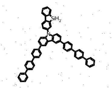 c1ccc(-c2ccc(-c3ccc(-c4ccc5c(c4)c4cc(-c6ccc(-c7ccc(-c8ccccc8)cc7)cc6)ccc4n5-c4ccc5c(c4)[SiH2]c4ccccc4-5)cc3)cc2)cc1